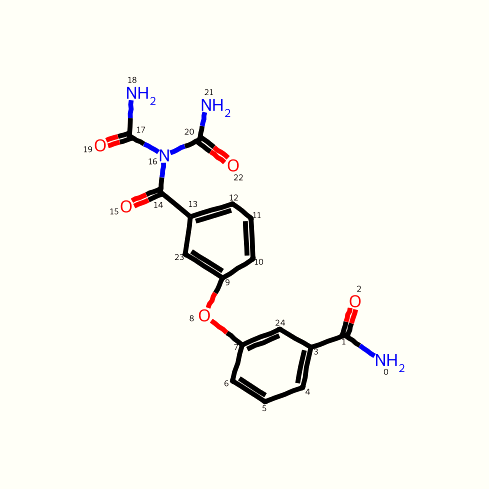 NC(=O)c1cccc(Oc2cccc(C(=O)N(C(N)=O)C(N)=O)c2)c1